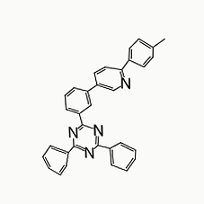 Cc1ccc(-c2ccc(-c3cccc(-c4nc(-c5ccccc5)nc(-c5ccccc5)n4)c3)cn2)cc1